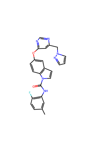 Cc1ccc(F)c(NC(=O)n2ccc3cc(Oc4cc(Cn5cccn5)ncn4)ccc32)c1